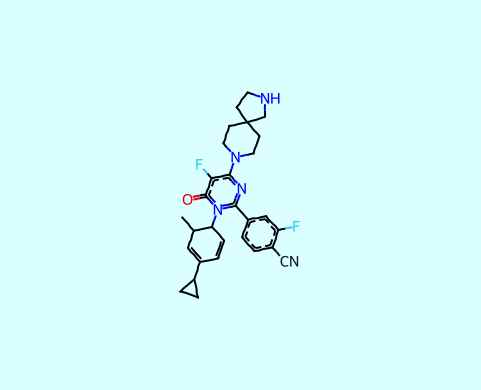 CC1C=C(C2CC2)C=CC1n1c(-c2ccc(C#N)c(F)c2)nc(N2CCC3(CCNC3)CC2)c(F)c1=O